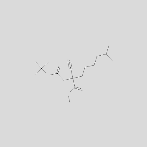 COC(=O)C(C#N)(CCCCC(C)C)CC(=O)OC(C)(C)C